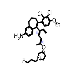 C=C/C(=C\C=C(/C)O[C@H]1CCN(CCCF)C1)C1=C(c2ccc(OCC)c(Cl)c2Cl)CCCc2cc(N)ccc21